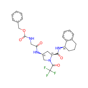 O=C(CNC(=O)OCc1ccccc1)N[C@H]1C[C@@H](C(=O)N[C@@H]2CCCc3ccccc32)N(C(=O)C(F)(F)F)C1